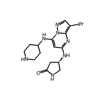 CC(C)c1cnn2c(NC3CCNCC3)cc(N[C@H]3CNC(=O)C3)nc12